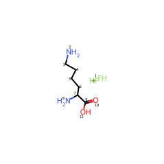 F.F.NCCCCC(N)C(=O)O